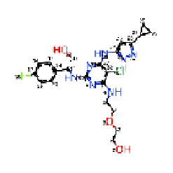 OCCOCCNc1nc(N[C@@H](CO)c2ccc(F)cc2)nc(Nc2cc(C3CC3)n[nH]2)c1Cl